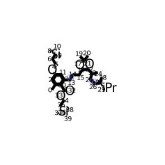 Cc1cc(OCC[Si](C)(C)C)cc(/C=C/CC2OC(C)(C)OC2C(C)/C=C\[C@@H](C)C(C)C)c1C(=O)OCC[Si](C)(C)C